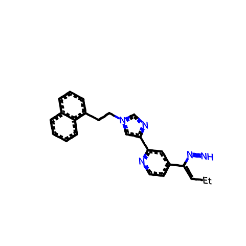 CC/C=C(\N=N)c1ccnc(-c2cn(CCc3cccc4ccccc34)cn2)c1